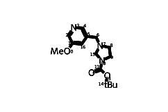 COc1cncc(CN2CCN(C(=O)OC(C)(C)C)C2)c1